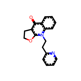 O=c1c2c(n(CCc3ccccn3)c3ccccc13)OCC2